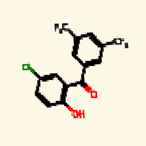 O=C(c1cc(C(F)(F)F)cc(C(F)(F)F)c1)c1cc(Cl)ccc1O